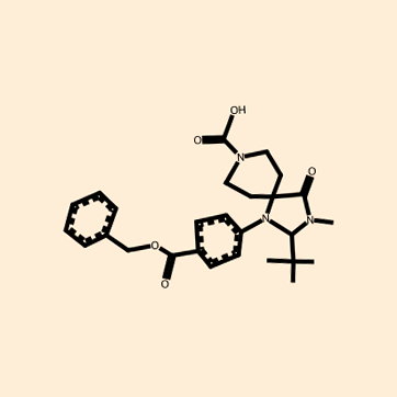 CN1C(=O)C2(CCN(C(=O)O)CC2)N(c2ccc(C(=O)OCc3ccccc3)cc2)C1C(C)(C)C